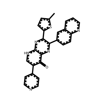 Cc1ccc(-c2nc3[nH]cc(-c4ccncc4)c(=O)c3nc2-c2ccc3ncccc3c2)s1